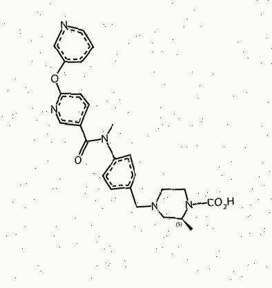 C[C@H]1CN(Cc2ccc(N(C)C(=O)c3ccc(Oc4cccnc4)nc3)cc2)CCN1C(=O)O